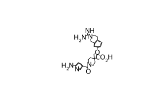 N=C(N)N1CCc2ccc(OCC3(C(=O)O)CCN(C(=O)c4ccc(N)nc4)CC3)cc2C1